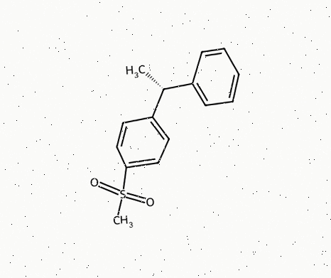 C[C@H](c1ccccc1)c1ccc(S(C)(=O)=O)cc1